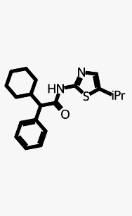 CC(C)c1cnc(NC(=O)C(c2ccccc2)C2CCCCC2)s1